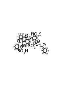 O=C(CCCS(=O)(=O)c1ccc(S(=O)(=O)O)c(Nc2cc(S(=O)(=O)O)c3[nH]c(=O)c(C(=O)c4cccc(S(=O)(=O)O)c4)c4c3c2C(=O)c2ccccc2-4)c1)c1ccccc1